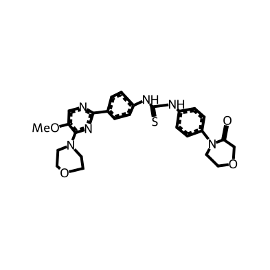 COc1cnc(-c2ccc(NC(=S)Nc3ccc(N4CCOCC4=O)cc3)cc2)nc1N1CCOCC1